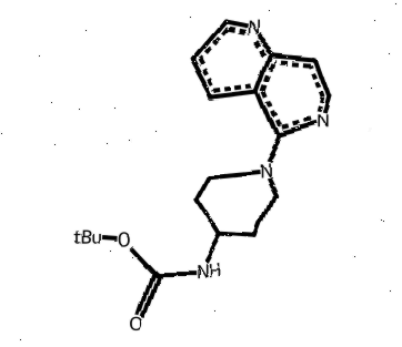 CC(C)(C)OC(=O)NC1CCN(c2nccc3ncccc23)CC1